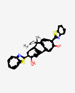 CC1(C)c2cc(-c3nc4ccccc4s3)c(O)cc2-c2cc(O)c(-c3nc4ccccc4s3)cc21